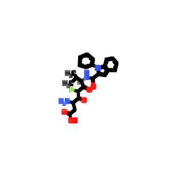 CC(C)[C@H](NC(=O)c1cc2ccccc2n1-c1ccccc1)C(=O)C(F)C(=O)C(N)CC(=O)O